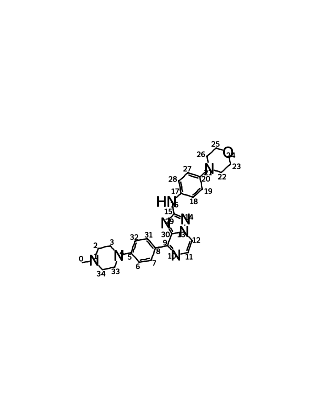 CN1CCN(c2ccc(-c3nccn4nc(Nc5ccc(N6CCOCC6)cc5)nc34)cc2)CC1